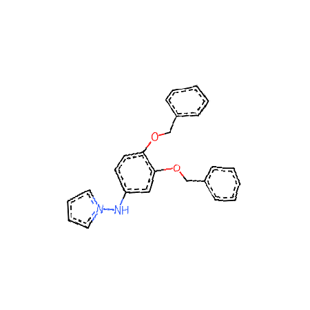 c1ccc(COc2ccc(Nn3cccc3)cc2OCc2ccccc2)cc1